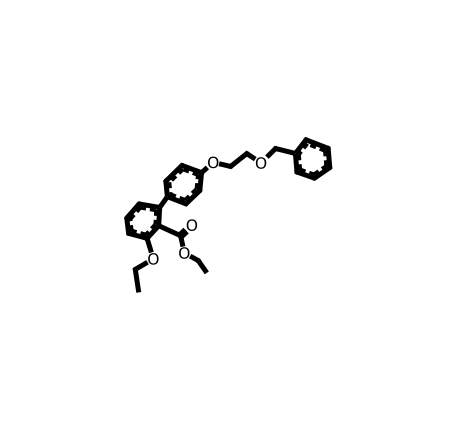 CCOC(=O)c1c(OCC)cccc1-c1ccc(OCCOCc2ccccc2)cc1